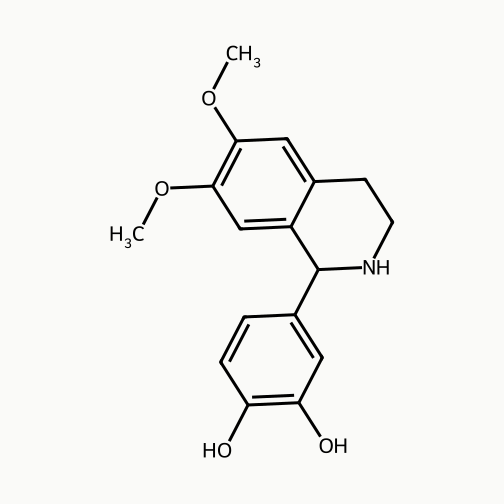 COc1cc2c(cc1OC)C(c1ccc(O)c(O)c1)NCC2